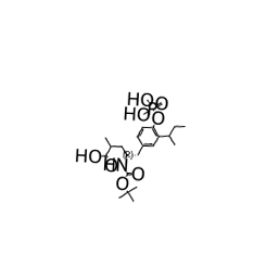 CCC(C)c1cc(C[C@@H](CC(C)C(=O)O)NC(=O)OC(C)(C)C)ccc1OP(=O)(O)O